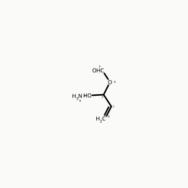 C=CC(O)OC=O.N